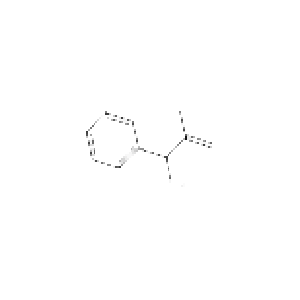 C=C(C)C(CCCC)c1ccccc1